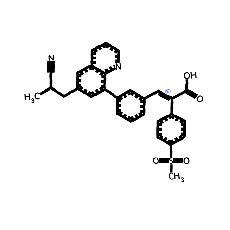 CC(C#N)Cc1cc(-c2cccc(/C=C(/C(=O)O)c3ccc(S(C)(=O)=O)cc3)c2)c2ncccc2c1